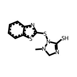 CN1CN=C(S)N1Sc1nc2ccccc2s1